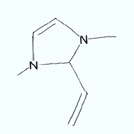 C=CC1N(C)C=CN1C